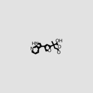 CC(CC=O)(C(=O)O)c1cc(-c2c[nH]c3ncccc23)co1